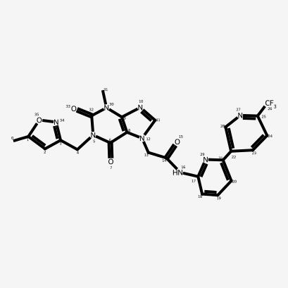 Cc1cc(Cn2c(=O)c3c(ncn3CC(=O)Nc3cccc(-c4ccc(C(F)(F)F)nc4)n3)n(C)c2=O)no1